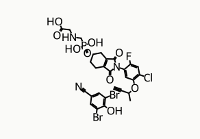 C#CC(C)Oc1cc(N2C(=O)C3=C(CCCC3)C2=O)c(F)cc1Cl.N#Cc1cc(Br)c(O)c(Br)c1.O=C(O)CNCP(=O)(O)O